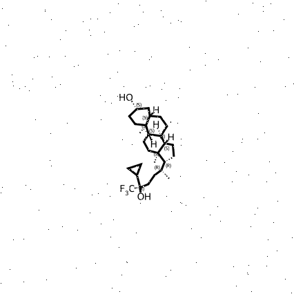 C[C@H](CC[C@@](O)(C1CC1)C(F)(F)F)[C@H]1CC[C@H]2[C@@H]3CC[C@H]4C[C@@H](O)CC[C@]4(C)[C@H]3CC[C@]12C